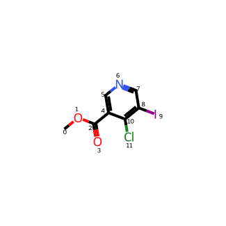 COC(=O)c1cncc(I)c1Cl